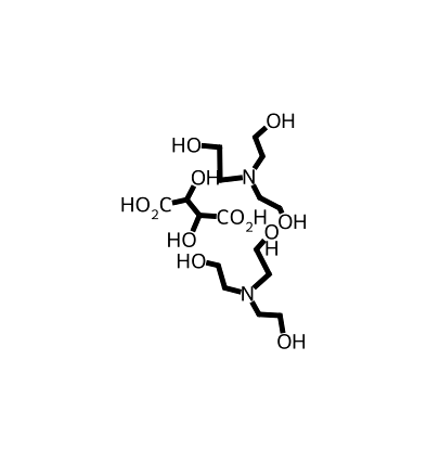 O=C(O)C(O)C(O)C(=O)O.OCCN(CCO)CCO.OCCN(CCO)CCO